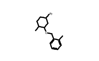 Cc1ccccc1COC1CC(C(C)C)CCC1C